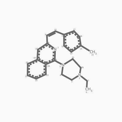 CCN1CCN(c2nc(/C=C\c3ccc(C)cc3)cc3ccccc23)CC1